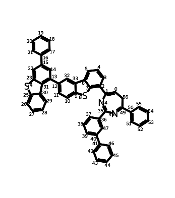 C1=C(c2cccc3c2sc2ccc(-c4cc(-c5ccccc5)cc5sc6ccccc6c45)cc23)N=C(c2cccc(-c3ccccc3)c2)N=C(c2ccccc2)C1